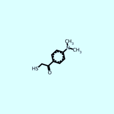 CN(C)c1ccc(C(=O)CS)cc1